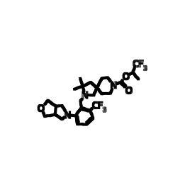 CC(OC(=O)N1CCC2(CC1)CN(Cc1c(N3CC4COCC4C3)cccc1C(F)(F)F)C(C)(C)C2)C(F)(F)F